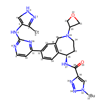 CCc1n[nH]cc1Nc1nccc(-c2ccc3c(c2)CN(C2COC2)CC[C@H]3NC(=O)c2cn(C(C)(C)C)nn2)n1